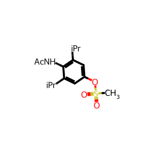 CC(=O)Nc1c(C(C)C)cc(OS(C)(=O)=O)cc1C(C)C